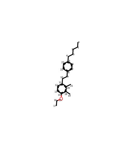 CCCCCc1ccc(CCc2ccc(OCC)c(C)c2C)cc1